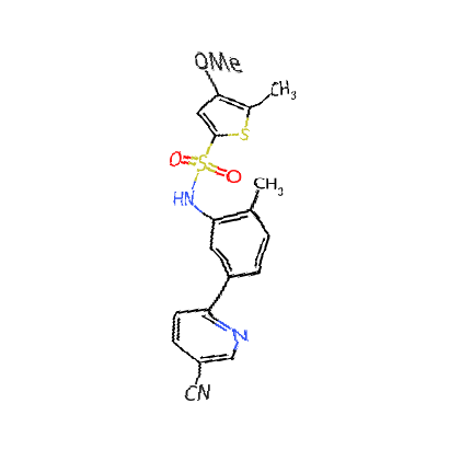 COc1cc(S(=O)(=O)Nc2cc(-c3ccc(C#N)cn3)ccc2C)sc1C